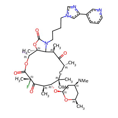 CN[C@@H]1C[C@H](O[C@@H]2[C@@H](C)C(=O)[C@](C)(F)C(=O)O[C@H](I)[C@@]3(C)OC(=O)N(CCCCn4cnc(-c5cccnc5)c4)C3[C@@H](C)C(=O)[C@H](C)C[C@@]2(C)OC)O[C@H](C)C1